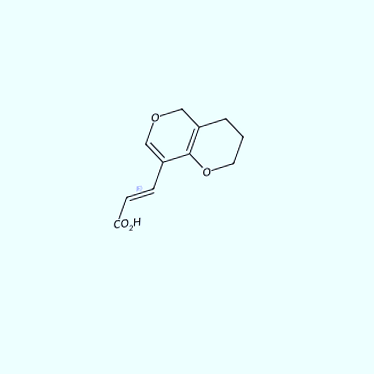 O=C(O)/C=C/C1=COCC2=C1OCCC2